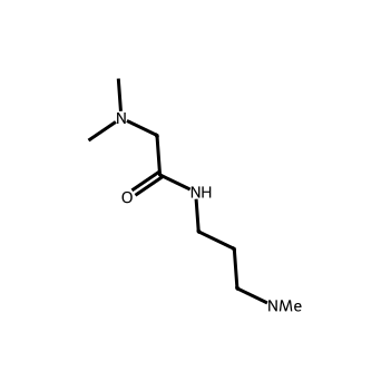 CNCCCNC(=O)CN(C)C